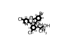 [2H]C([2H])(O)[C@H](C)COC1(c2ccc(Cl)cc2)c2ccc(Br)cc2C(=O)N1Cc1ccc(Cl)cn1